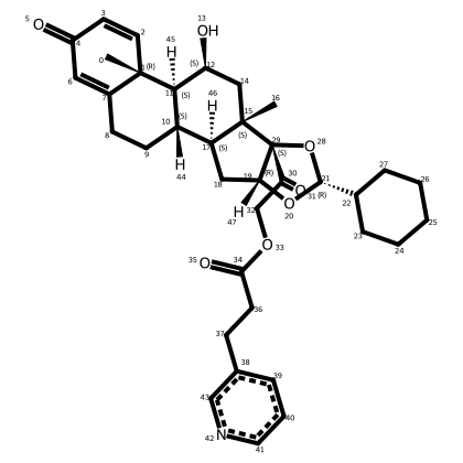 C[C@]12C=CC(=O)C=C1CC[C@@H]1[C@@H]2[C@@H](O)C[C@@]2(C)[C@H]1C[C@H]1O[C@@H](C3CCCCC3)O[C@]12C(=O)COC(=O)CCc1cccnc1